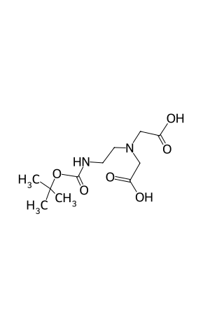 CC(C)(C)OC(=O)NCCN(CC(=O)O)CC(=O)O